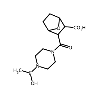 CB(O)N1CCN(C(=O)C2C3CCC(O3)C2C(=O)O)CC1